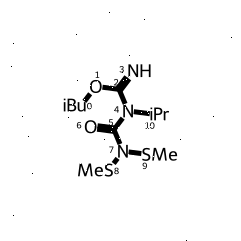 CCC(C)OC(=N)N(C(=O)N(SC)SC)C(C)C